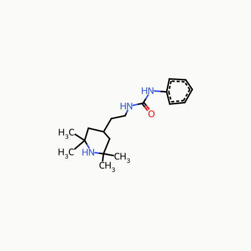 CC1(C)CC(CCNC(=O)Nc2ccccc2)CC(C)(C)N1